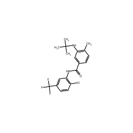 Cc1ccc(C(=O)Nc2cc(C(F)(F)F)ccc2Cl)cc1NC(C)(C)C